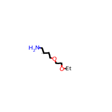 CCOCCOCC[CH]CN